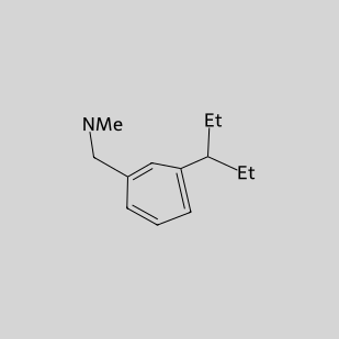 CCC(CC)c1cccc(CNC)c1